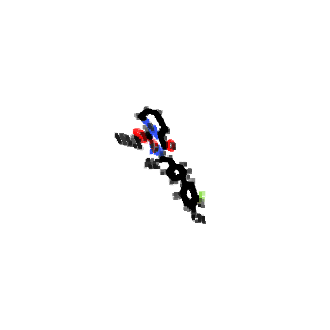 CC(C)(C)OC(=O)N1CCCCC1C(=O)N[C@H](C#N)Cc1ccc(-c2ccc(C#N)c(F)c2)cc1